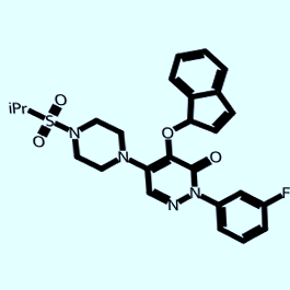 CC(C)S(=O)(=O)N1CCN(c2cnn(-c3cccc(F)c3)c(=O)c2OC2C=Cc3ccccc32)CC1